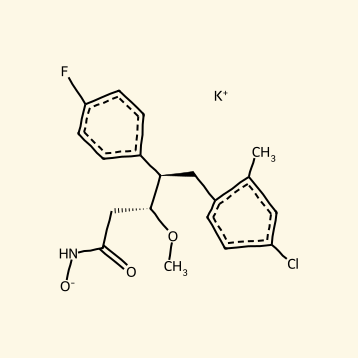 CO[C@H](CC(=O)N[O-])[C@H](Cc1ccc(Cl)cc1C)c1ccc(F)cc1.[K+]